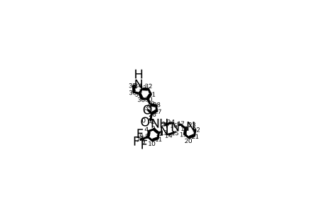 O=C(Nc1cc(C(F)(F)F)ccc1N1CCN(Cc2ccccn2)CC1)c1ccc(-c2ccc3[nH]ccc3c2)o1